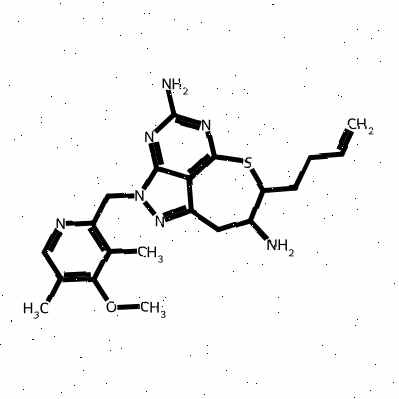 C=CCCC1Sc2nc(N)nc3c2c(nn3Cc2ncc(C)c(OC)c2C)CC1N